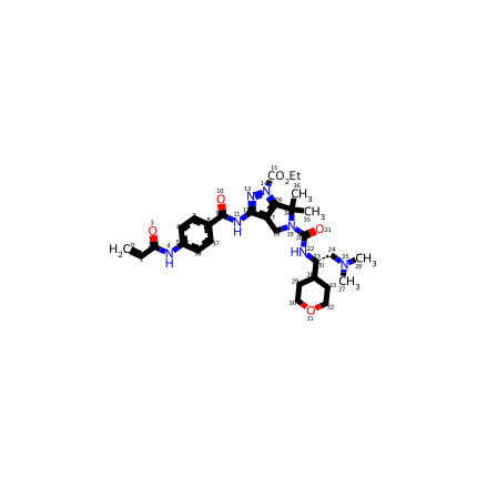 C=CC(=O)Nc1ccc(C(=O)Nc2nn(C(=O)OCC)c3c2CN(C(=O)N[C@H](CN(C)C)C2CCOCC2)C3(C)C)cc1